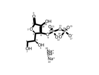 O=C1O[C@H]([C@@H](O)CO)C(OP(=O)([O-])OP(=O)([O-])[O-])=C1O.[Na+].[Na+].[Na+]